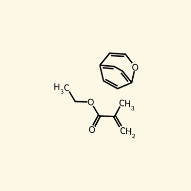 C1=Cc2ccc(cc2)O1.C=C(C)C(=O)OCC